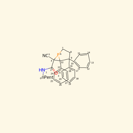 CCCCCNC(=O)C1(C#N)P2CCC(c3ccccc3)(c3ccccc3)C21c1ccccc1